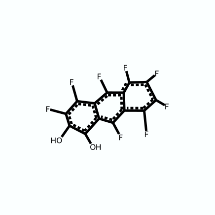 Oc1c(F)c(F)c2c(F)c3c(F)c(F)c(F)c(F)c3c(F)c2c1O